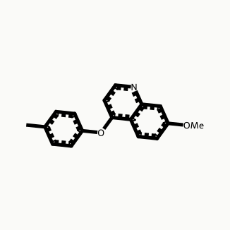 COc1ccc2c(Oc3ccc(C)cc3)ccnc2c1